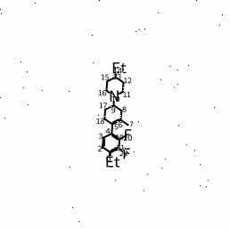 CCc1ccc(C2=C(C)CC(N3CCC(CC)CC3)CC2)c(F)c1F